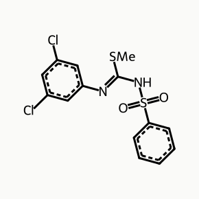 CS/C(=N\c1cc(Cl)cc(Cl)c1)NS(=O)(=O)c1ccccc1